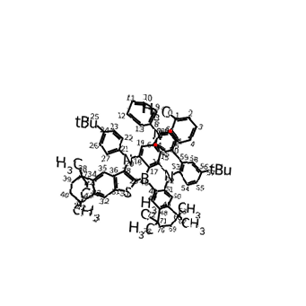 Cc1ccccc1N(c1ccccc1)c1cc2c3c(c1)N(c1ccc(C(C)(C)C)cc1)c1c(sc4cc5c(cc14)C1(C)CCC5(C)CC1)B3c1cc3c(cc1N2c1ccc(C(C)(C)C)cc1-c1ccccc1)C(C)(C)CCC3(C)C